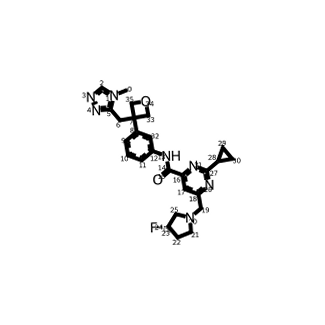 Cn1cnnc1CC1(c2cccc(NC(=O)c3cc(CN4CC[C@H](F)C4)nc(C4CC4)n3)c2)COC1